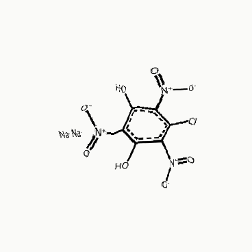 O=[N+]([O-])c1c(O)c([N+](=O)[O-])c(Cl)c([N+](=O)[O-])c1O.[Na].[Na]